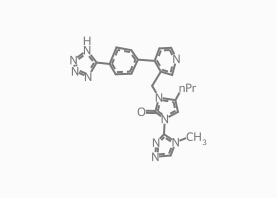 CCCc1cn(-c2nncn2C)c(=O)n1Cc1cnccc1-c1ccc(-c2nnn[nH]2)cc1